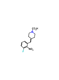 O=C(O)N1CCC(=Cc2cccc(F)c2[N+](=O)[O-])CC1